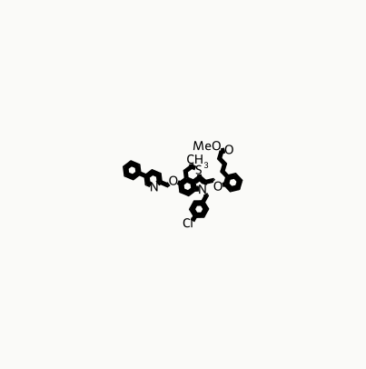 COC(=O)CCCc1ccccc1OCc1c2c3c(c(OCc4ccc(-c5ccccc5)cn4)ccc3n1Cc1ccc(Cl)cc1)CC(C)S2